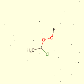 CCOOC(C)Cl